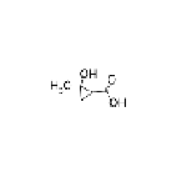 CC1(O)CC1C(=O)O